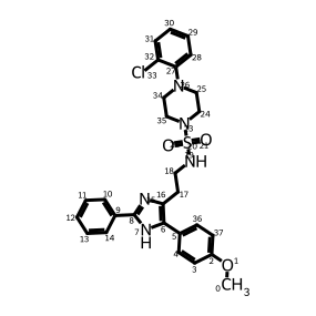 COc1ccc(-c2[nH]c(-c3ccccc3)nc2CCNS(=O)(=O)N2CCN(c3ccccc3Cl)CC2)cc1